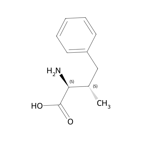 C[C@@H](Cc1ccccc1)[C@H](N)C(=O)O